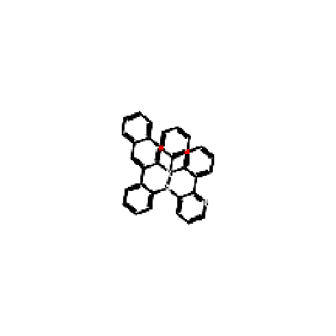 c1ccc([Si]23c4cc5ccccc5cc4-c4ccccc4N2c2cccnc2-c2ccccc23)cc1